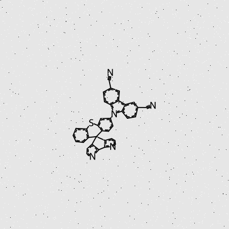 N#Cc1ccc2c(c1)c1cc(C#N)ccc1n2-c1ccc2c(c1)Sc1ccccc1C21c2cccnc2-c2ncccc21